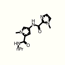 CCCNC(=O)c1cc(NC(=O)c2nccn2C)cn1C